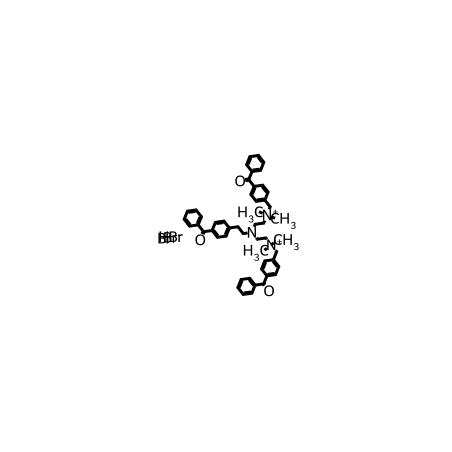 Br.C[N+](C)(CCN(CCc1ccc(C(=O)c2ccccc2)cc1)CC[N+](C)(C)Cc1ccc(C(=O)c2ccccc2)cc1)Cc1ccc(C(=O)c2ccccc2)cc1.[Br-].[Br-]